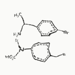 CC(N)c1ccc(Br)cc1.CCN(C(=O)O)c1ccc(Br)cc1